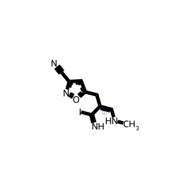 CN/C=C(/Cc1cc(C#N)no1)C(=N)I